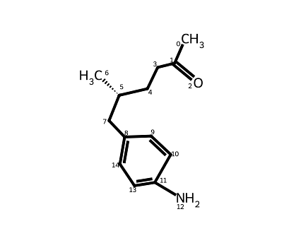 CC(=O)CC[C@@H](C)Cc1ccc(N)cc1